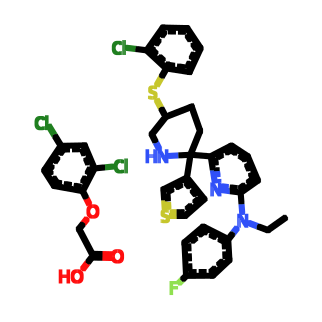 CCN(c1ccc(F)cc1)c1cccc(C2(c3ccsc3)CCC(Sc3ccccc3Cl)CN2)n1.O=C(O)COc1ccc(Cl)cc1Cl